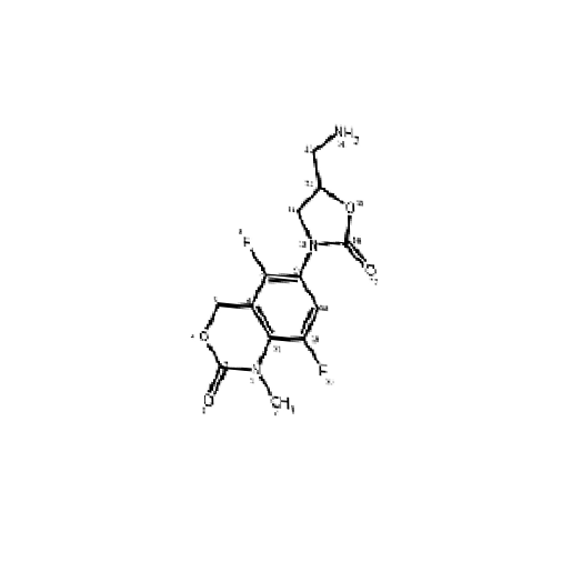 CN1C(=O)OCc2c(F)c(N3CC(CN)OC3=O)cc(F)c21